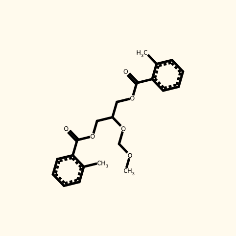 COCOC(COC(=O)c1ccccc1C)COC(=O)c1ccccc1C